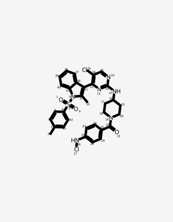 Cc1ccc(S(=O)(=O)n2c(C)c(-c3nc(NC4CCN(C(=O)c5ccc(NCl)cc5)CC4)ncc3Cl)c3ccccc32)cc1